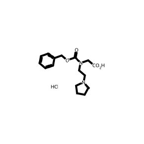 Cl.O=C(O)CN(CCN1CCCC1)C(=O)OCc1ccccc1